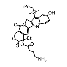 CCC1(OC(=O)CCCN)C(=O)OCc2c1cc1n(c2=O)Cc2c-1nc1ccc(O)cc1c2[Si](C)(C)CC(C)C